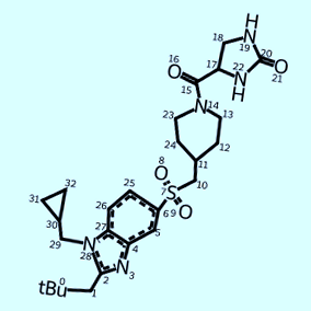 CC(C)(C)Cc1nc2cc(S(=O)(=O)CC3CCN(C(=O)C4CNC(=O)N4)CC3)ccc2n1CC1CC1